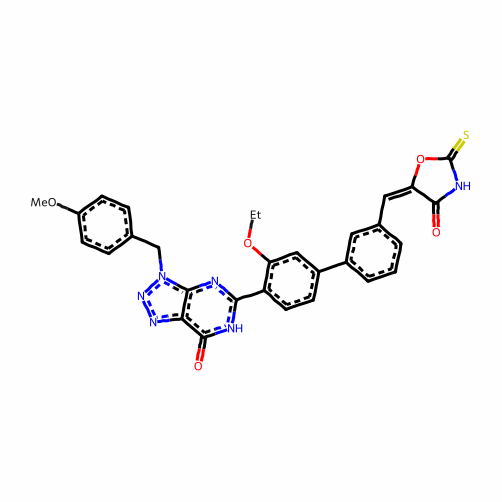 CCOc1cc(-c2cccc(C=C3OC(=S)NC3=O)c2)ccc1-c1nc2c(nnn2Cc2ccc(OC)cc2)c(=O)[nH]1